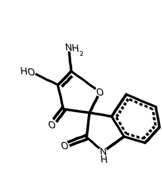 NC1=C(O)C(=O)C2(O1)C(=O)Nc1ccccc12